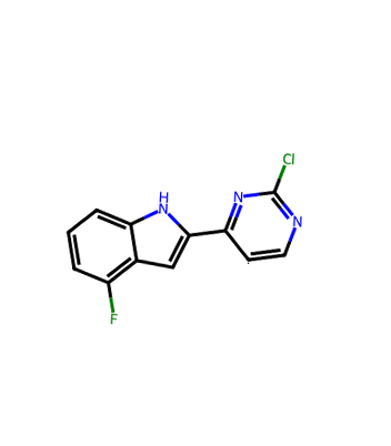 Fc1cccc2[nH]c(-c3[c]cnc(Cl)n3)cc12